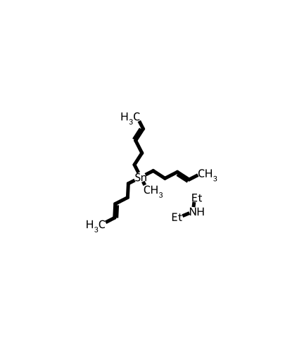 CC=CC[CH2][Sn]([CH3])([CH2]CC=CC)[CH2]CC=CC.CCNCC